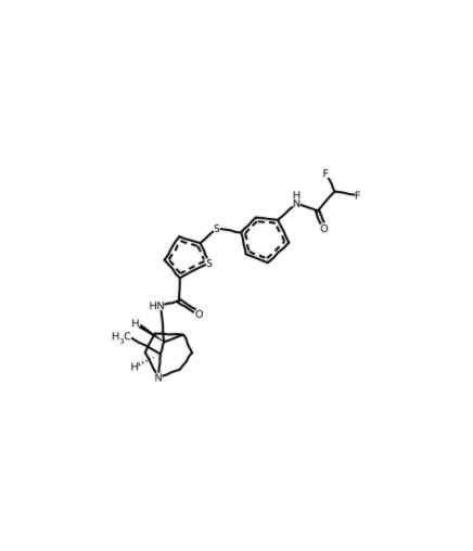 C[C@H]1[C@H](NC(=O)c2ccc(Sc3cccc(NC(=O)C(F)F)c3)s2)C2CCN1CC2